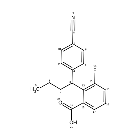 CCCC(c1ccc(C#N)cc1)c1c(F)cccc1C(=O)O